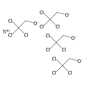 [O-]CC(Cl)(Cl)Cl.[O-]CC(Cl)(Cl)Cl.[O-]CC(Cl)(Cl)Cl.[O-]CC(Cl)(Cl)Cl.[Ti+4]